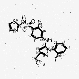 O=S(=O)(Nc1nccs1)c1ccc(Nc2cc(CC(F)(F)F)nn2-c2ccccc2F)cc1F